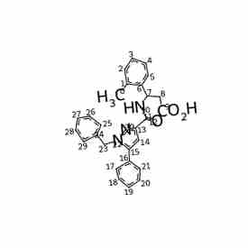 Cc1ccccc1C(CC(=O)O)NC(=O)c1cc(-c2ccccc2)n(Cc2ccccc2)n1